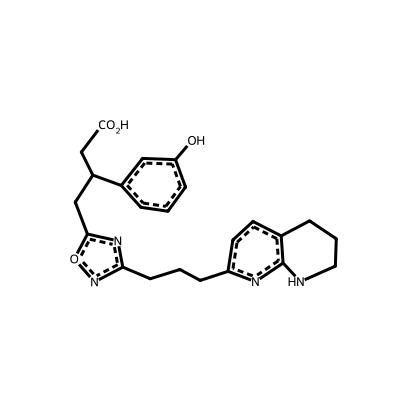 O=C(O)CC(Cc1nc(CCCc2ccc3c(n2)NCCC3)no1)c1cccc(O)c1